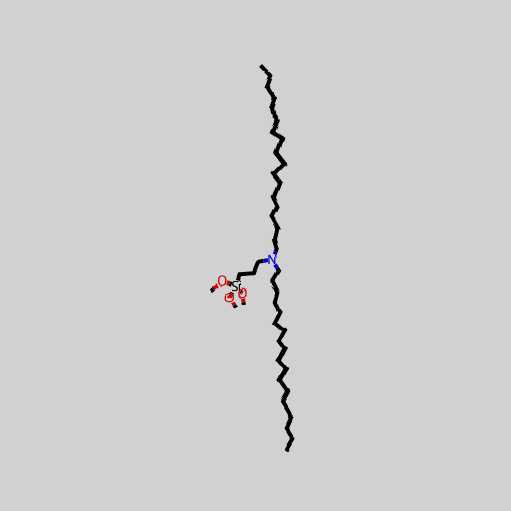 CCCCCCCCCCCCCCCCCCN(CCCCCCCCCCCCCCCCCC)CCC[Si](OC)(OC)OC